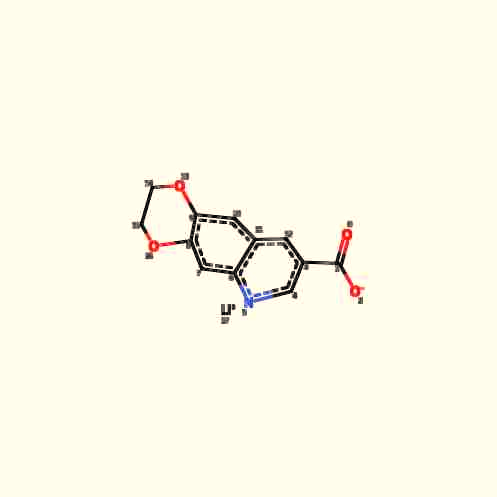 O=C([O-])c1cnc2cc3c(cc2c1)OCCO3.[Li+]